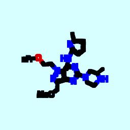 CCCOCCn1nc(COC)c2nc(N3CCN[C@H](C)C3)nc(Nc3cccc(C)n3)c21